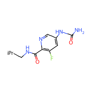 CC(C)CNC(=O)c1ncc(NC(N)=O)cc1F